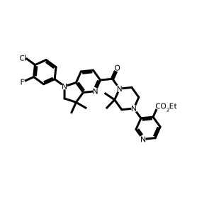 CCOC(=O)c1ccncc1N1CCN(C(=O)c2ccc3c(n2)C(C)(C)CN3c2ccc(Cl)c(F)c2)C(C)(C)C1